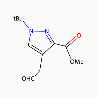 COC(=O)c1nn(C(C)(C)C)cc1CC=O